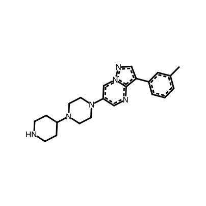 Cc1cccc(-c2cnn3cc(N4CCN(C5CCNCC5)CC4)cnc23)c1